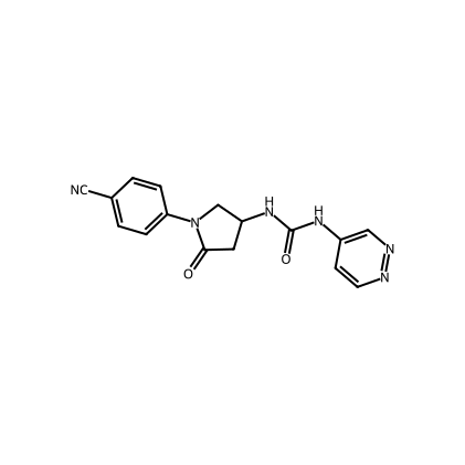 N#Cc1ccc(N2CC(NC(=O)Nc3ccnnc3)CC2=O)cc1